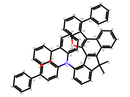 CC1(C)c2cccc(N(c3ccc(-c4ccccc4)cc3)c3ccccc3C3C=CC=CC3)c2-c2c1c1ccccc1c1c2oc2cccc(-c3ccccc3)c21